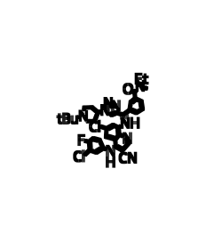 CCN(C)C(=O)c1cccc([C@H](Nc2cc(Cl)cc3c(Nc4ccc(F)c(Cl)c4)c(C#N)cnc23)c2cn(C3CCN(C(C)(C)C)CC3)nn2)c1